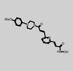 COc1ccc(N2CCN(C(=O)C=Cc3cccc(C=CC(=O)NO)n3)CC2)cc1